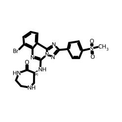 CS(=O)(=O)c1ccc(-c2nc3c4cccc(Br)c4nc(N[C@@H]4CNCCNC4=O)n3n2)cc1